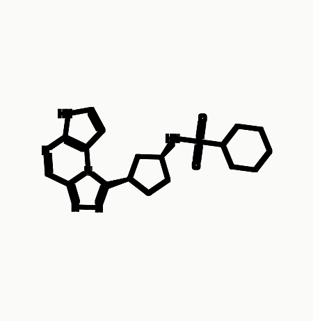 O=S(=O)(N[C@H]1CC[C@@H](c2nnc3cnc4[nH]ccc4n23)C1)C1CCCCC1